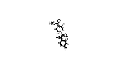 C[C@H]1CN(C(=O)Nc2ccc(F)cc2F)CCN1C(=O)O